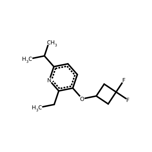 CCc1nc(C(C)C)ccc1OC1CC(F)(F)C1